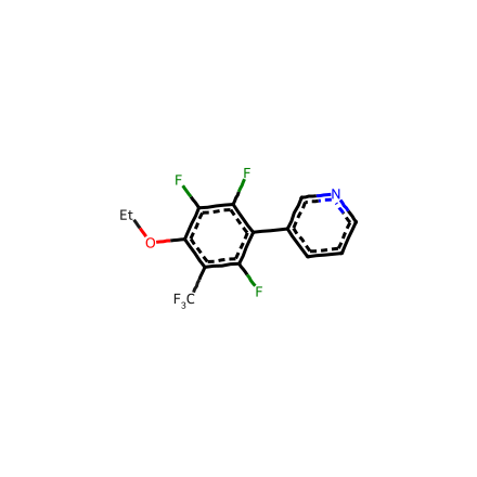 CCOc1c(F)c(F)c(-c2cccnc2)c(F)c1C(F)(F)F